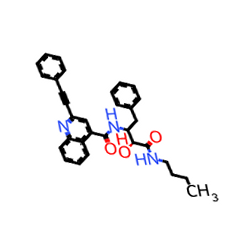 CCCCNC(=O)[C@@H](O)C(Cc1ccccc1)NC(=O)c1cc(C#Cc2ccccc2)nc2ccccc12